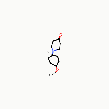 CCCO[C@H]1CC[C@@](C)(N2CCC(=O)CC2)CC1